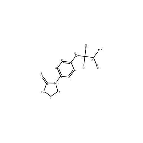 O=C1OCCN1c1ccc(OC(F)(F)C(F)F)cc1